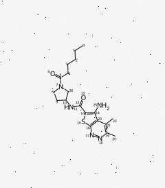 CCCCCC(=O)N1CCC(NC(=O)c2sc3nnc(C)c(C)c3c2N)C1